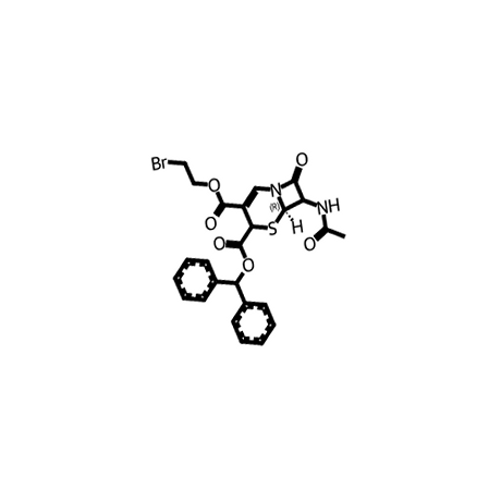 CC(=O)NC1C(=O)N2C=C(C(=O)OCCBr)C(C(=O)OC(c3ccccc3)c3ccccc3)S[C@H]12